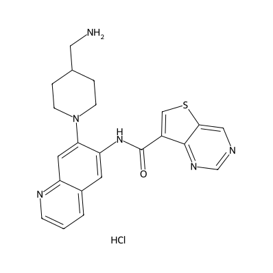 Cl.NCC1CCN(c2cc3ncccc3cc2NC(=O)c2csc3cncnc23)CC1